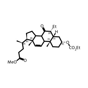 CCOC(=O)O[C@@H]1CC[C@]2(C)C3C=C[C@@]4(C)C(CC[C@@H]4[C@H](C)CCC(=O)OC)C3C(=O)[C@H](CC)[C@@H]2C1